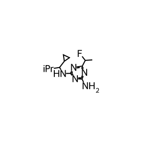 CC(F)c1nc(N)nc(NC(C(C)C)C2CC2)n1